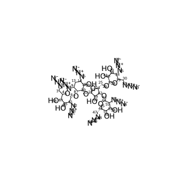 [N-]=[N+]=NCC1O[C@H](O[C@@H]2C(N=[N+]=[N-])C[C@@H](N=[N+]=[N-])C(O)[C@H]2O[C@@H]2O[C@H](CO[C@@H]3OC(CN=[N+]=[N-])[C@@H](N=[N+]=[N-])[C@H](O)C3O)[C@H](O[C@H]3O[C@@H](CN=[N+]=[N-])[C@@H](O)C(O)C3N=[N+]=[N-])C2O)C(N=[N+]=[N-])[C@@H](O)[C@@H]1O